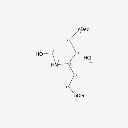 CCCCCCCCCCCCC(CCCCCCCCCCCC)NCO.Cl